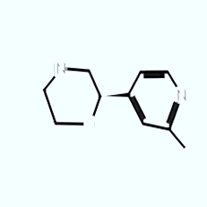 Cc1cc([C@@H]2CNCCO2)ccn1